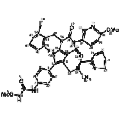 CONC(=O)Nc1ccc(-c2sc3c(c2CN(C)Cc2ccccc2)c(=O)n(-c2ccc(OC)nn2)c(=O)n3Cc2c(F)cccc2F)cc1